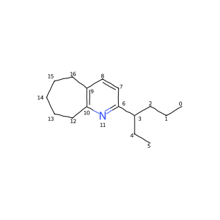 CCCC(CC)c1ccc2c(n1)CCCCC2